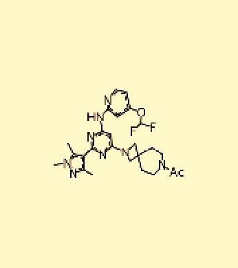 CC(=O)N1CCC2(CC1)CN(c1cc(Nc3cc(OC(F)F)ccn3)nc(-c3c(C)nn(C)c3C)n1)C2